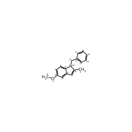 COc1ccc2c([c]c(C)n2Cc2ccccc2)c1